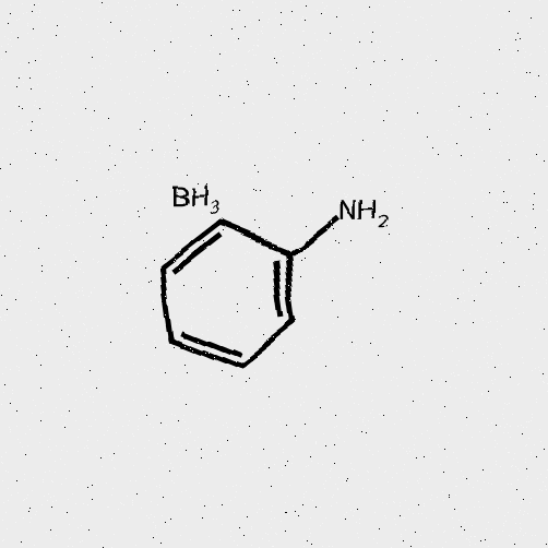 B.Nc1ccccc1